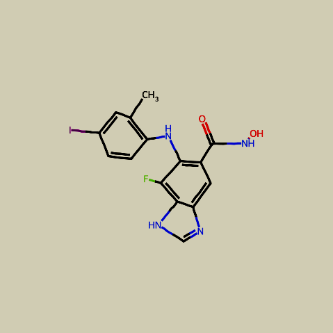 Cc1cc(I)ccc1Nc1c(C(=O)NO)cc2nc[nH]c2c1F